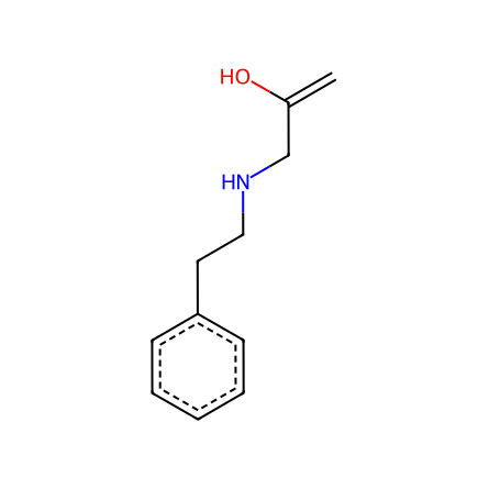 C=C(O)CNCCc1ccccc1